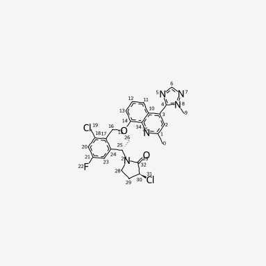 Cc1cc(-c2ncnn2C)c2cccc(OCc3c(Cl)cc(F)cc3[C@H](C)N3CC[C@H](Cl)C3=O)c2n1